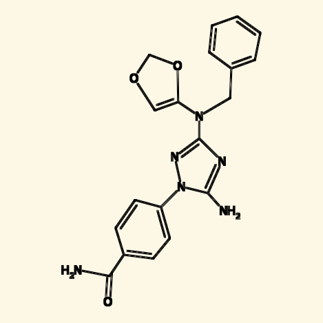 NC(=O)c1ccc(-n2nc(N(Cc3ccccc3)C3=COCO3)nc2N)cc1